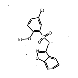 CCOc1ccc(CC)cc1S(=O)(=O)Nc1noc2ccccc12